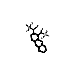 CCC(c1ccc2cc3ccccc3cc2c1C(CC)[Si](Cl)(Cl)Cl)[Si](Cl)(Cl)Cl